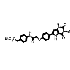 CCCn1c(=O)c2[nH]c(-c3ccc(OCC(=O)Nc4ccc(CC(=O)OCC)cc4)cc3)cc2n(C)c1=O